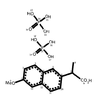 COc1ccc2cc(C(C)C(=O)O)ccc2c1.O=P(O)(O)O.O=P(O)(O)O